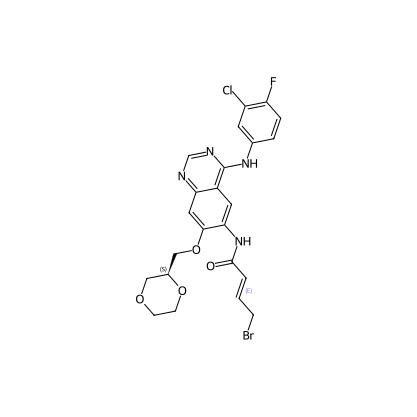 O=C(/C=C/CBr)Nc1cc2c(Nc3ccc(F)c(Cl)c3)ncnc2cc1OC[C@@H]1COCCO1